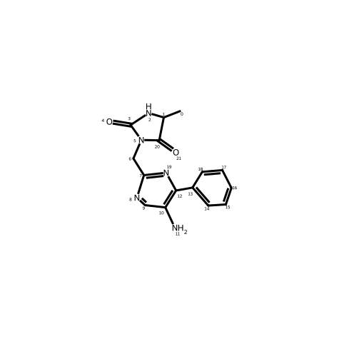 CC1NC(=O)N(Cc2ncc(N)c(-c3ccccc3)n2)C1=O